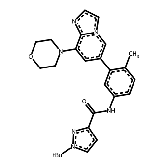 Cc1ccc(NC(=O)c2ccn(C(C)(C)C)n2)cc1-c1cc(N2CCOCC2)c2nccn2c1